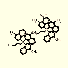 CCCC[B-](c1ccc(C)c2ccccc12)(c1ccc(C)c2ccccc12)c1ccc(C)c2ccccc12.CCCC[B-](c1ccc(C)c2ccccc12)(c1ccc(C)c2ccccc12)c1ccc(C)c2ccccc12.[Mg+2]